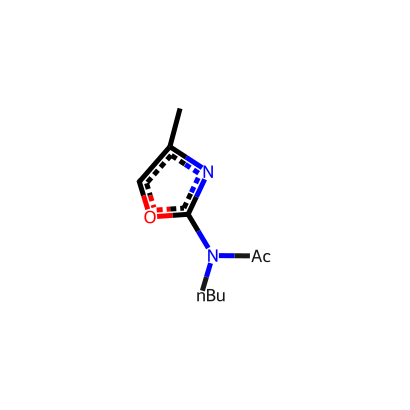 CCCCN(C(C)=O)c1nc(C)co1